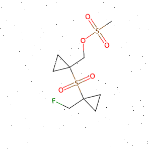 CS(=O)(=O)OCC1(S(=O)(=O)C2(CF)CC2)CC1